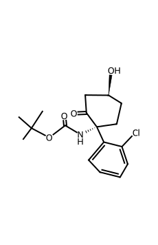 CC(C)(C)OC(=O)N[C@@]1(c2ccccc2Cl)CC[C@H](O)CC1=O